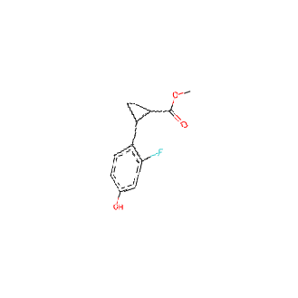 COC(=O)C1CC1c1ccc(O)cc1F